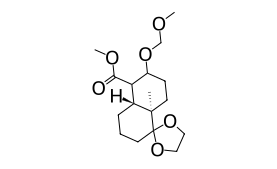 COCOC1CC[C@]2(C)[C@H](CCCC23OCCO3)C1C(=O)OC